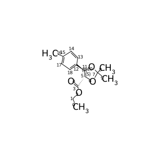 CCOC(=O)[C@H]1OC(C)(C)O[C@@H]1c1ccc(C)cc1